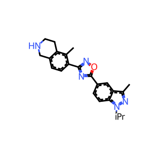 Cc1c(-c2noc(-c3ccc4c(c3)c(C)nn4C(C)C)n2)ccc2c1CCNC2